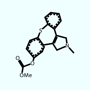 COC(=O)Oc1ccc2c(c1)C1=C(CN(C)C1)c1ccccc1S2